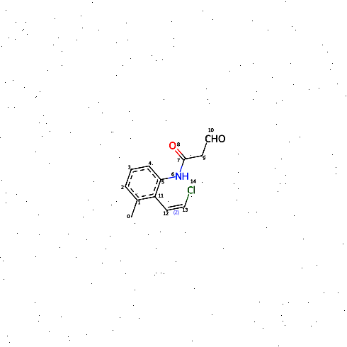 Cc1cccc(NC(=O)CC=O)c1/C=C\Cl